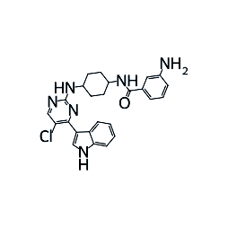 Nc1cccc(C(=O)NC2CCC(Nc3ncc(Cl)c(-c4c[nH]c5ccccc45)n3)CC2)c1